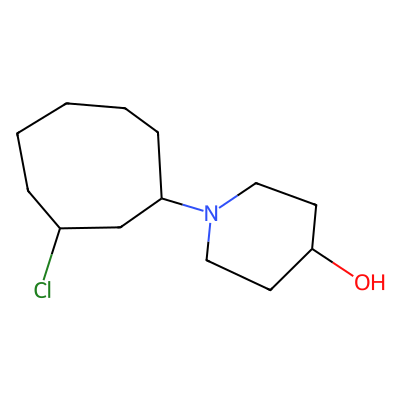 OC1CCN(C2CCCCCC(Cl)C2)CC1